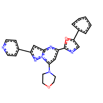 c1ccc(-c2cnc(-c3cc(N4CCOCC4)n4nc(-c5ccncc5)cc4n3)o2)cc1